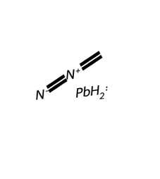 C=[N+]=[N-].[PbH2]